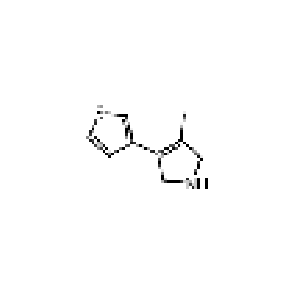 CC1=C(c2ccsc2)CNC1